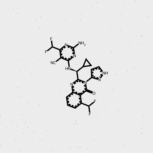 N#Cc1c(N[C@H](c2nc3cccc(C(F)F)c3c(=O)n2-c2cc[nH]n2)C2CC2)nc(N)nc1C(F)F